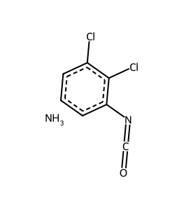 N.O=C=Nc1cccc(Cl)c1Cl